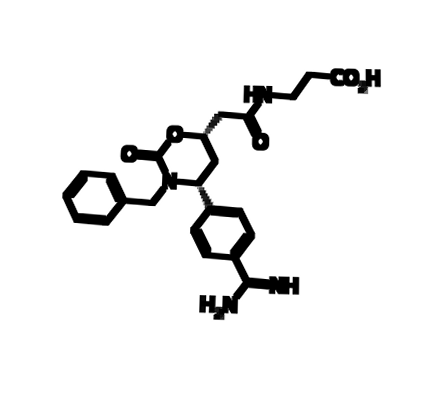 N=C(N)c1ccc([C@H]2C[C@@H](CC(=O)NCCC(=O)O)OC(=O)N2Cc2ccccc2)cc1